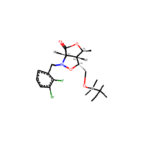 C[C@@H]1OC(=O)[C@@H]2[C@H]1[C@H](CO[Si](C)(C)C(C)(C)C)ON2Cc1cccc(Br)c1F